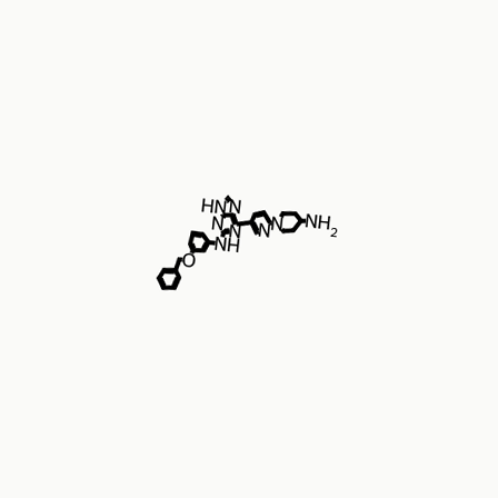 NC1CCN(c2ccc(-c3nc(Nc4cccc(OCc5ccccc5)c4)nc4[nH]cnc34)cn2)CC1